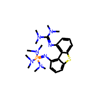 CN(C)C(=Nc1cccc2sc3cccc(N=P(N(C)C)(N(C)C)N(C)C)c3c12)N(C)C